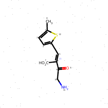 Cc1ccc(/C=C(\C(=O)O)C(=O)CN)s1